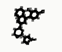 Cn1cc([C@H]2CN(c3nc(-c4ccc(Cl)cc4F)c4cccnc4n3)CCO2)cn1